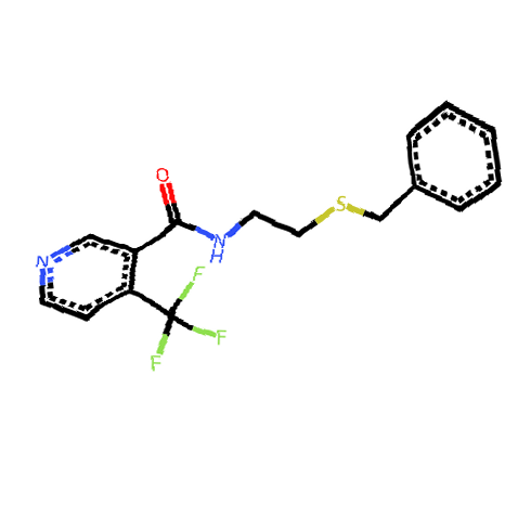 O=C(NCCSCc1ccccc1)c1cnccc1C(F)(F)F